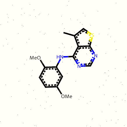 COc1ccc(OC)c(Nc2ncnc3scc(C)c23)c1